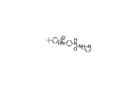 CC(C)(C)c1ccc([S+]([O-])Nc2ccc(NC(=O)NCc3cccnc3)cc2)cc1